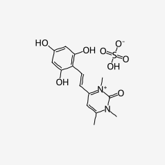 Cc1cc(C=Cc2c(O)cc(O)cc2O)[n+](C)c(=O)n1C.O=S(=O)([O-])O